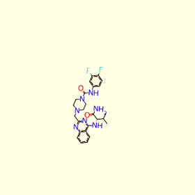 CC(C)[C@H](Nc1nc(CN2CCN(C(=O)Nc3ccc(F)c(F)c3)CC2)nc2ccccc12)C(N)=O